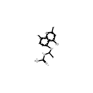 Cc1cc(Cl)c2c(OC(C)OC(N)=O)ccc(C)c2n1